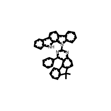 CC1(C)c2ccccc2-c2c1ccc1nc(-n3c4ccccc4c4ccc5c6ccccc6[nH]c5c43)nc(-c3ccccc3)c21